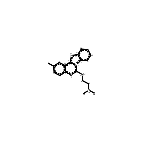 Cc1ccc2nc(NCCN(C)C)n3c4ccccc4nc3c2c1